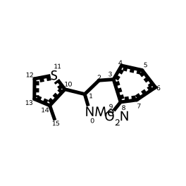 CNC(Cc1ccccc1[N+](=O)[O-])c1sccc1C